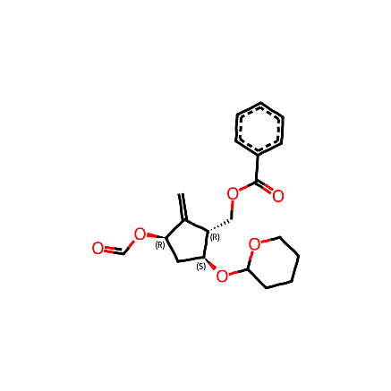 C=C1[C@H](OC=O)C[C@H](OC2CCCCO2)[C@H]1COC(=O)c1ccccc1